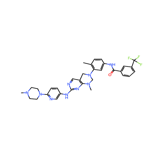 Cc1ccc(NC(=O)c2cccc(C(F)(F)F)c2)cc1N1Cc2cnc(Nc3ccc(N4CCN(C)CC4)nc3)nc2N(C)C1